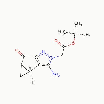 CC(C)(C)OC(=O)Cn1nc2c(c1N)[C@H]1CC1C2=O